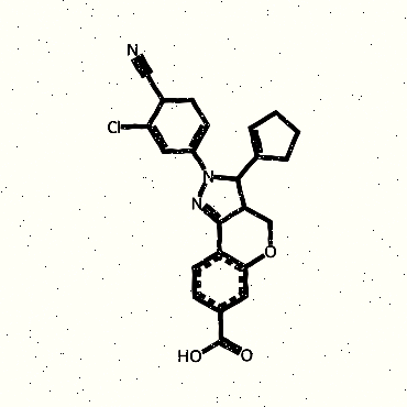 N#CC1CC=C(N2N=C3c4ccc(C(=O)O)cc4OCC3C2C2=CCCC2)C=C1Cl